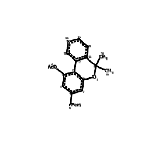 CCCCCc1cc(OC(C)=O)c2c(c1)OC(C)(C)c1ccncc1-2